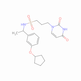 CC(NS(=O)(=O)CCCn1ccc(=O)[nH]c1=O)c1cccc(OC2CCCC2)c1